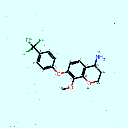 COc1c(Oc2ccc(C(F)(F)F)cc2)ccc2c1OCCC2N